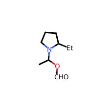 CCC1CCCN1C(C)OC=O